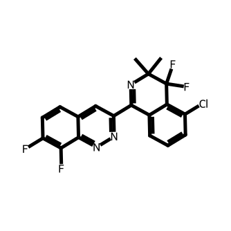 CC1(C)N=C(c2cc3ccc(F)c(F)c3nn2)c2cccc(Cl)c2C1(F)F